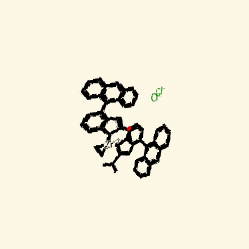 CC(C)C1=Cc2c(-c3c4ccccc4cc4ccccc34)cccc2[CH]1[Zr+2]1([CH]2C(C(C)C)=Cc3c(-c4c5ccccc5cc5ccccc45)cccc32)[CH2][CH2]1.[Cl-].[Cl-]